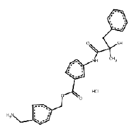 CC(S)(Cc1ccccc1)C(=O)Nc1cccc(C(=O)OCc2ccc(CN)cc2)c1.Cl